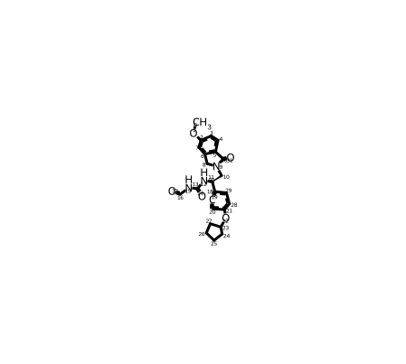 COc1ccc2c(c1)CN(C[C@H](NC(=O)NC=O)c1ccc(OC3CCCC3)cc1)C2=O